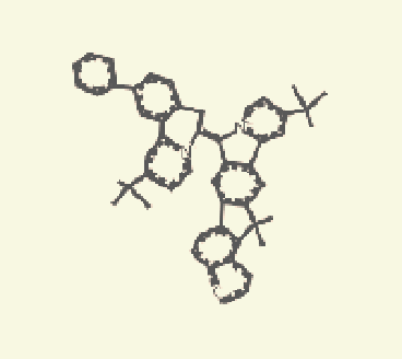 CC(C)(C)c1cc[n+]2c(c1)-c1cc(-c3ccccc3)ccc1C/C2=C1/c2cc3c(cc2-c2cc(C(C)(C)C)cc[n+]21)C(C)(C)c1c-3ccc2ccccc12